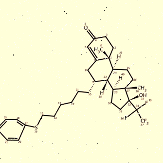 C[C@]12CCC(=O)C=C1C[C@@H](CCCCCCSc1ccccc1)[C@@H]1[C@@H]2CC[C@@]2(C)[C@H]1CC[C@@]2(O)C(F)(F)C(F)(F)F